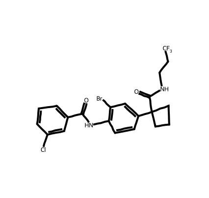 O=C(Nc1ccc(C2(C(=O)NCCC(F)(F)F)CCC2)cc1Br)c1cccc(Cl)c1